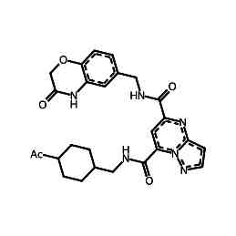 CC(=O)C1CCC(CNC(=O)c2cc(C(=O)NCc3ccc4c(c3)NC(=O)CO4)nc3ccnn23)CC1